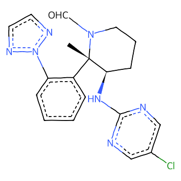 C[C@]1(c2ccccc2-n2nccn2)[C@H](Nc2ncc(Cl)cn2)CCCN1C=O